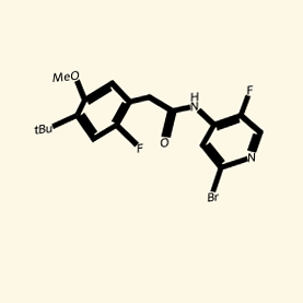 COc1cc(CC(=O)Nc2cc(Br)ncc2F)c(F)cc1C(C)(C)C